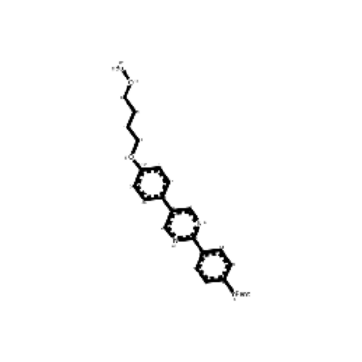 CCCCCc1ccc(-c2ncc(-c3ccc(OCCCCOCCCC)cc3)cn2)cc1